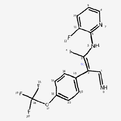 N=C/C(=C(/I)Nc1ncccc1F)c1ccc(OC(F)(F)F)cc1